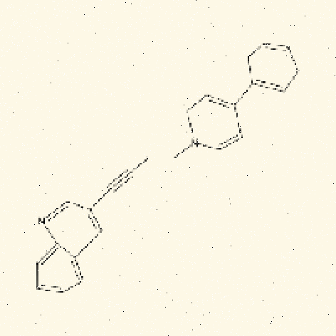 C(#Cc1cnc2ccccc2c1)CCN1C=CC(C2=CCC=CC2)=CC1